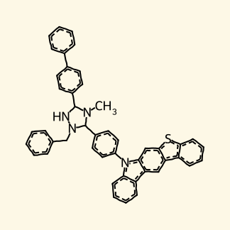 CN1C(c2ccc(-c3ccccc3)cc2)NN(Cc2ccccc2)C1c1ccc(-n2c3ccccc3c3cc4c(cc32)sc2ccccc24)cc1